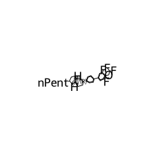 CCCCCC1CC[C@@H]2C[C@H](c3ccc(-c4cc(F)c(OC(F)F)c(F)c4)cc3)CC[C@@H]2C1